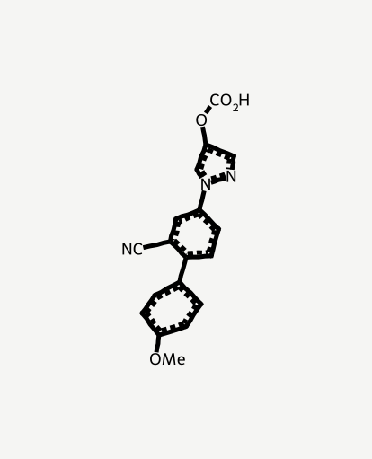 COc1ccc(-c2ccc(-n3cc(OC(=O)O)cn3)cc2C#N)cc1